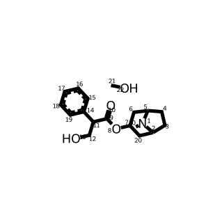 CN1C2CCC1CC(OC(=O)C(CO)c1ccccc1)C2.CO